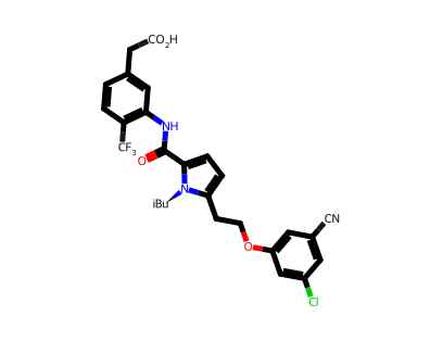 CC[C@H](C)n1c(CCOc2cc(Cl)cc(C#N)c2)ccc1C(=O)Nc1cc(CC(=O)O)ccc1C(F)(F)F